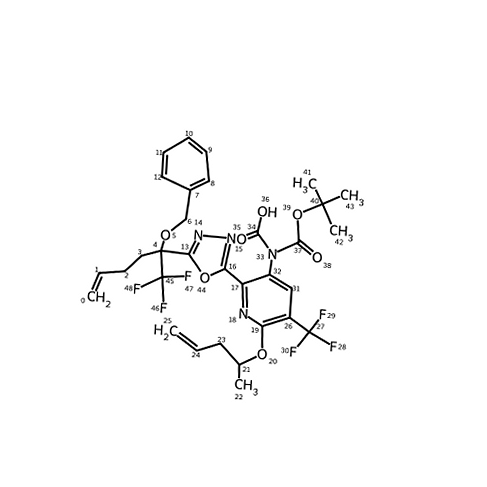 C=CCCC(OCc1ccccc1)(c1nnc(-c2nc(OC(C)CC=C)c(C(F)(F)F)cc2N(C(=O)O)C(=O)OC(C)(C)C)o1)C(F)(F)F